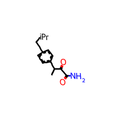 CC(C)Cc1ccc(C(C)C(=O)C(N)=O)cc1